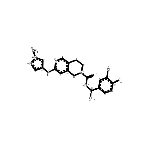 C[C@@H](NC(=O)N1CCc2cnc(Nc3cnn(C)c3)cc2C1)c1ccc(Cl)c(Cl)c1